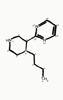 CCC[CH]N1CCNCC1c1ncccn1